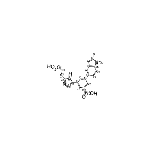 Cc1cc2cc(-c3cc(-c4nnc(SCC(=O)O)[nH]4)cc([N+](=O)O)c3)ccc2n1C